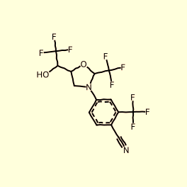 N#Cc1ccc(N2CC(C(O)C(F)(F)F)OC2C(F)(F)F)cc1C(F)(F)F